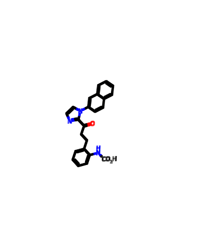 O=C(O)Nc1ccccc1CCC(=O)c1nccn1-c1ccc2ccccc2c1